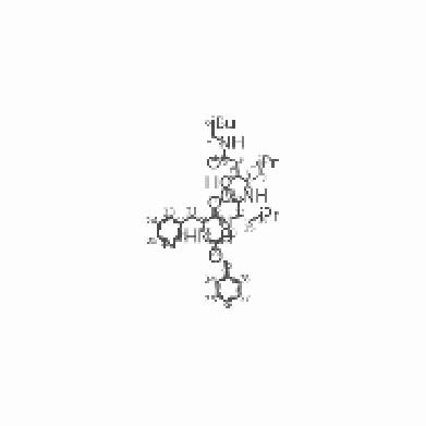 CCC(C)CNC(=O)C[C@H](O)[C@H](CC(C)C)NC(=O)[C@H](CC(C)C)NC(=O)[C@H](Cc1cccnc1)NC(=O)OCc1ccccc1